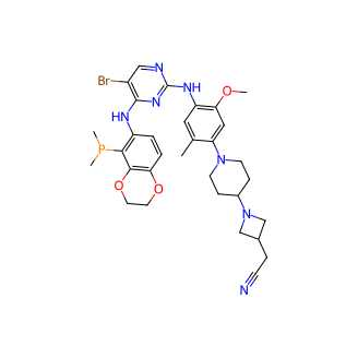 COc1cc(N2CCC(N3CC(CC#N)C3)CC2)c(C)cc1Nc1ncc(Br)c(Nc2ccc3c(c2P(C)C)OCCO3)n1